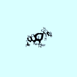 Cc1ncc(OC(F)F)cc1C(=N)C1=C(NC(C)C)C[C@H](C(=O)NC2(C)CS(=O)(=O)C2)CC1